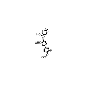 CCCCCCCCOc1ccc(-c2ccc(OCC3(CO)COC(C)(C)OC3)c(C=O)c2)cc1F